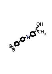 CN(CCO)c1ccc(/N=N/c2ccc(-c3ccc([N+](=O)[O-])cc3)cc2)cc1